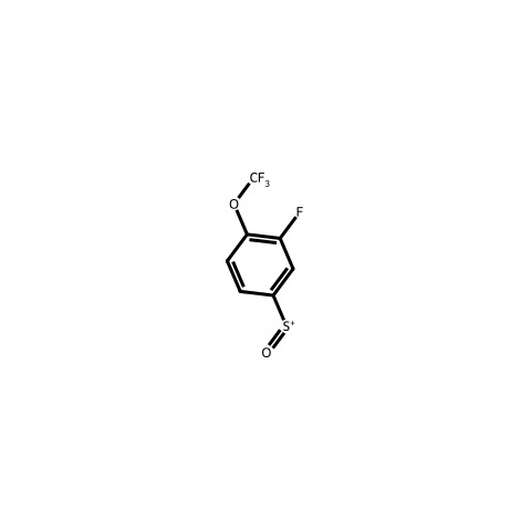 O=[S+]c1ccc(OC(F)(F)F)c(F)c1